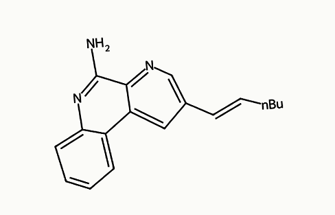 CCCC/C=C/c1cnc2c(N)nc3ccccc3c2c1